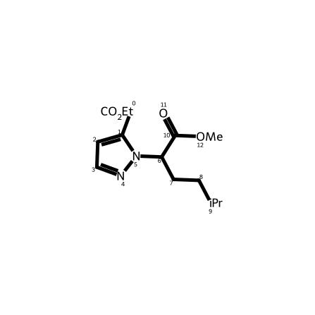 CCOC(=O)c1ccnn1C(CCC(C)C)C(=O)OC